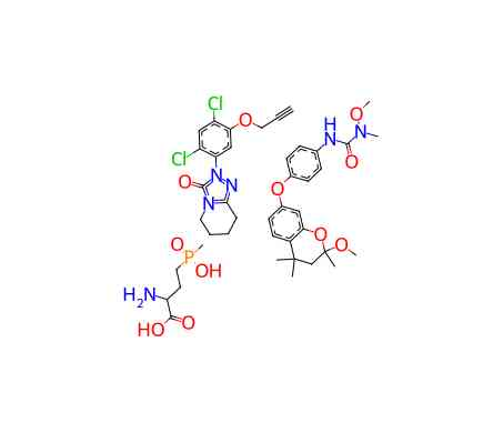 C#CCOc1cc(-n2nc3n(c2=O)CCCC3)c(Cl)cc1Cl.CON(C)C(=O)Nc1ccc(Oc2ccc3c(c2)OC(C)(OC)CC3(C)C)cc1.CP(=O)(O)CCC(N)C(=O)O